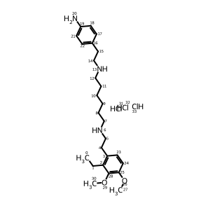 CCc1c(CCNCCCCCCNCCc2ccc(N)cc2)ccc(OC)c1OC.Cl.Cl.Cl